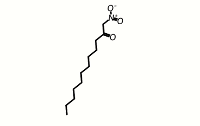 CCCCCCCCCCC(=O)C[N+](=O)[O-]